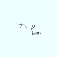 CC(C)(C)CCC(=O)N=N